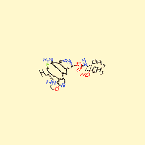 Cc1c(-c2cc3cc(OC(=O)NC4CC(C)(O)C4C)ncc3c(N)c2F)cnc2c1NCCO2